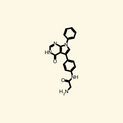 NCC(=O)Nc1ccc(-c2cn(-c3ccccc3)c3nc[nH]c(=O)c23)cc1